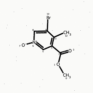 COC(=O)c1c[n+]([O-])cc(Br)c1C